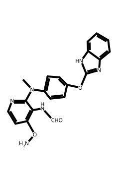 CN(c1ccc(Oc2nc3ccccc3[nH]2)cc1)c1nccc(ON)c1NC=O